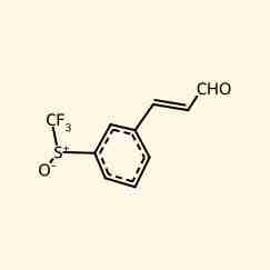 O=CC=Cc1cccc([S+]([O-])C(F)(F)F)c1